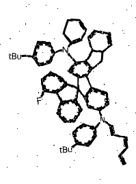 C=C/C=C\C=C\N(c1ccc(C(C)(C)C)cc1)c1ccc2c(c1)C1(c3ccccc3-c3c(F)cccc31)c1cc(N(C3=CC=CCC3)c3ccc(C(C)(C)C)cc3)c3c(c1-2)CC1C=CC=CC31